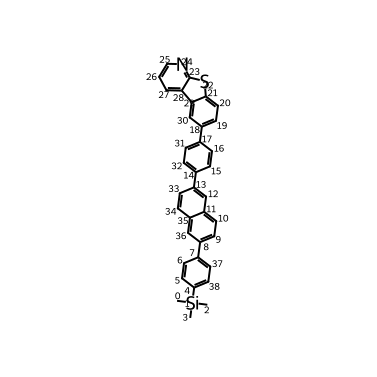 C[Si](C)(C)c1ccc(-c2ccc3cc(-c4ccc(-c5ccc6sc7ncccc7c6c5)cc4)ccc3c2)cc1